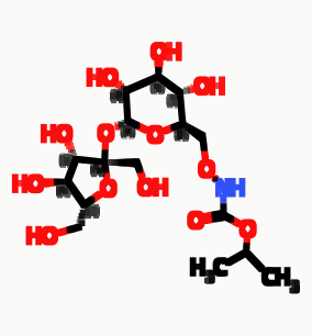 CC(C)OC(=O)NOC[C@H]1O[C@H](O[C@]2(CO)O[C@H](CO)[C@@H](O)[C@@H]2O)[C@H](O)[C@@H](O)[C@@H]1O